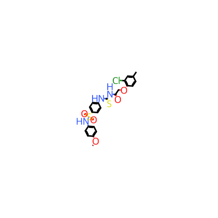 COc1ccc(NS(=O)(=O)c2ccc(NC(=S)NC(=O)COc3ccc(C)cc3Cl)cc2)cc1